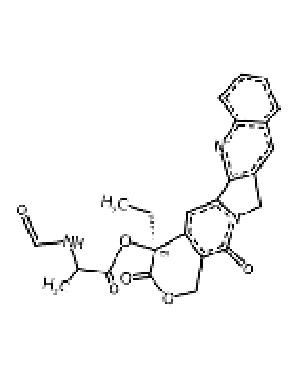 CC[C@@]1(OC(=O)C(C)NC=O)C(=O)OCc2c1cc1n(c2=O)Cc2cc3ccccc3nc2-1